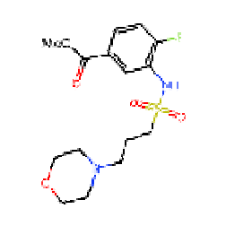 COC(=O)c1ccc(F)c(NS(=O)(=O)CCCN2CCOCC2)c1